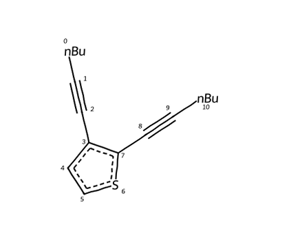 CCCCC#Cc1ccsc1C#CCCCC